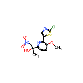 COc1ccc(C(C)(O)C[N+](=O)[O-])nc1-c1cnc(Cl)s1